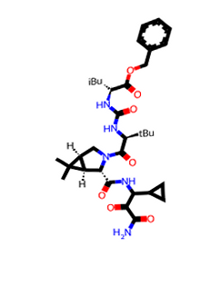 CC[C@@H](C)[C@H](NC(=O)N[C@H](C(=O)N1C[C@H]2[C@@H]([C@H]1C(=O)NC(C(=O)C(N)=O)C1CC1)C2(C)C)C(C)(C)C)C(=O)OCc1ccccc1